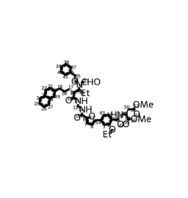 CCOc1cc(-c2ccc(C(=O)NCNC(=O)[C@H](CCCc3ccc4ccccc4c3)[C@@H](CC)N(C=O)OCc3ccccc3)o2)ccc1C(=O)N[C@@H](CC(=O)OC)C(=O)OC